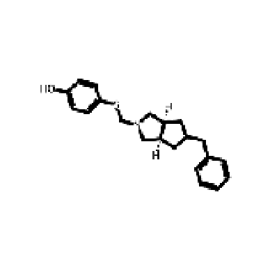 Oc1ccc(SCN2C[C@H]3CC(Cc4ccccc4)C[C@H]3C2)cc1